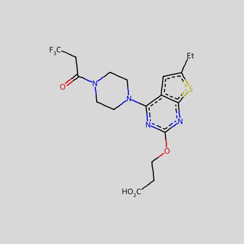 CCc1cc2c(N3CCN(C(=O)CC(F)(F)F)CC3)nc(OCCC(=O)O)nc2s1